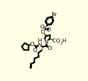 C=CCCCCC[C@H](NC(=O)OC1CCCC1)C(=O)N1C[C@@H](OS(=O)(=O)c2ccc(Br)cc2)C[C@H]1C(=O)O